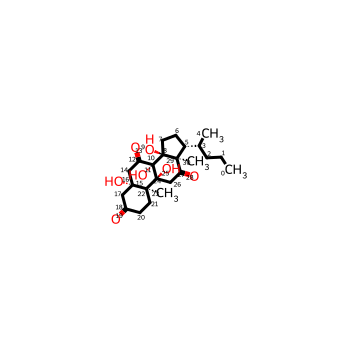 CCCC(C)[C@H]1CC[C@@]2(O)[C@]3(O)C(=O)C[C@]4(O)CC(=O)CC[C@]4(C)[C@@]3(O)CC(=O)[C@]12C